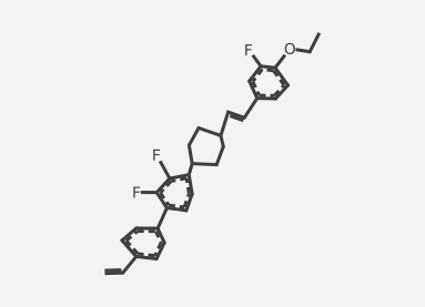 C=Cc1ccc(-c2ccc(C3CCC(/C=C/c4ccc(OCC)c(F)c4)CC3)c(F)c2F)cc1